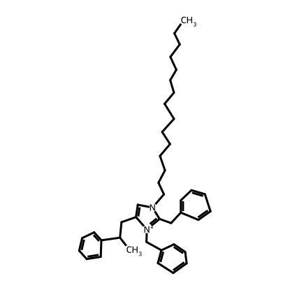 CCCCCCCCCCCCCCCn1cc(CC(C)c2ccccc2)[n+](Cc2ccccc2)c1Cc1ccccc1